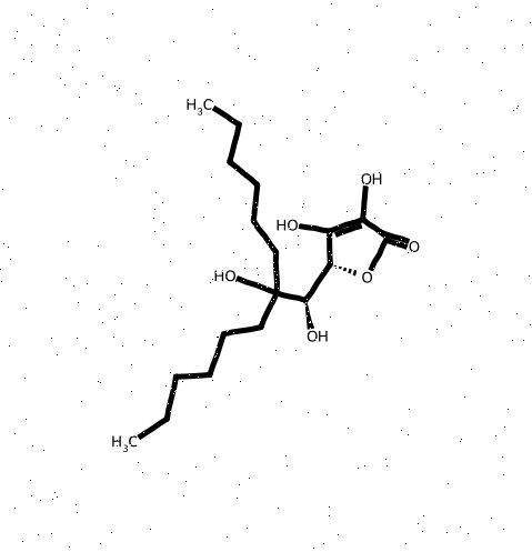 CCCCCCC(O)(CCCCCC)[C@H](O)[C@H]1OC(=O)C(O)=C1O